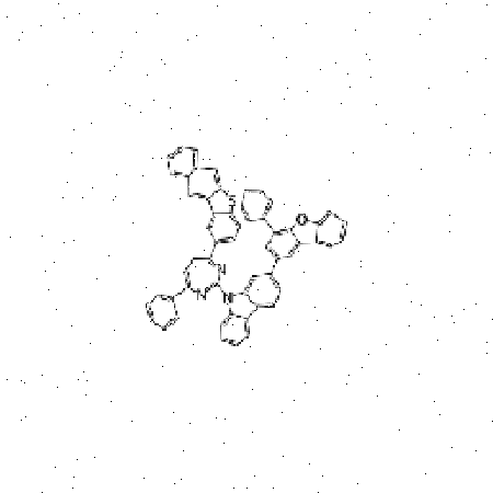 C1=C(c2ccccc2)N=C(n2c3ccccc3c3ccc(-c4cc(-c5ccccc5)c5oc6ccccc6c5c4)cc32)N=C(c2ccc3sc4cc5ccccc5cc4c3c2)C1